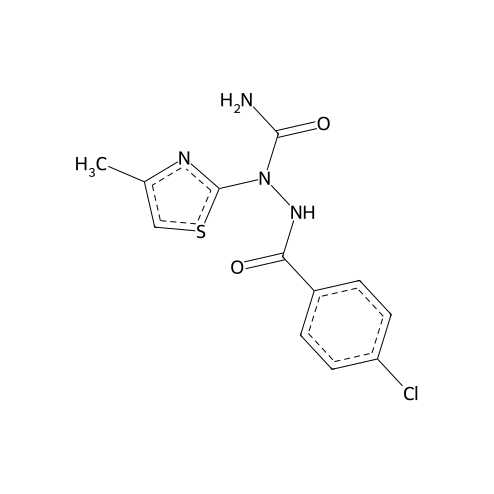 Cc1csc(N(NC(=O)c2ccc(Cl)cc2)C(N)=O)n1